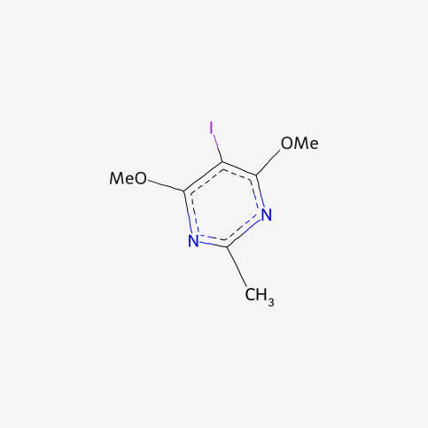 COc1nc(C)nc(OC)c1I